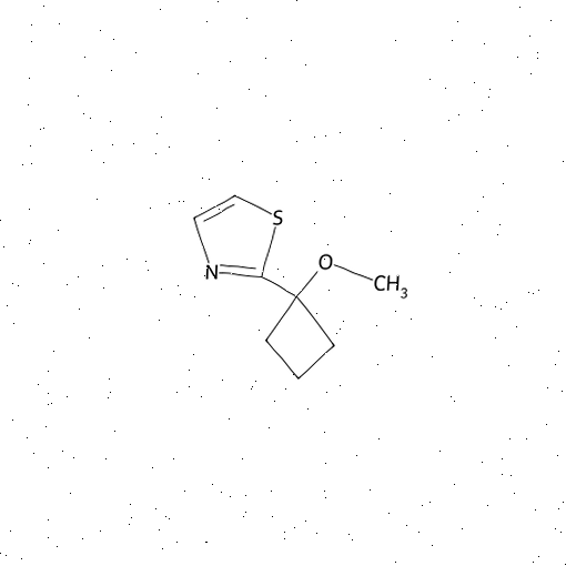 COC1(c2nccs2)CCC1